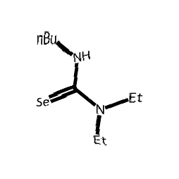 CCCCNC(=[Se])N(CC)CC